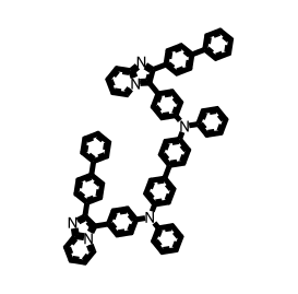 c1ccc(-c2ccc(-c3nc4ccccn4c3-c3ccc(N(c4ccccc4)c4ccc(-c5ccc(N(c6ccccc6)c6ccc(-c7c(-c8ccc(-c9ccccc9)cc8)nc8ccccn78)cc6)cc5)cc4)cc3)cc2)cc1